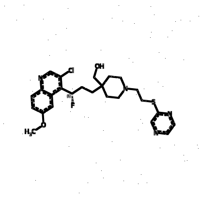 COc1ccc2ncc(Cl)c([C@@H](F)CCC3(CO)CCN(CCSc4cnccn4)CC3)c2c1